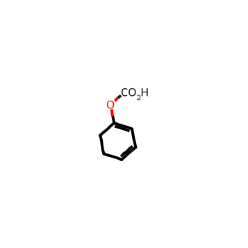 O=C(O)OC1=CC=CCC1